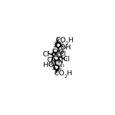 Cc1c(Cl)c(Cl)n(-c2c(Cl)c(Cl)n(C)c2C(=O)c2ccc(C(=O)O)cc2O)c1C(=O)c1ccc(C(=O)O)cc1O